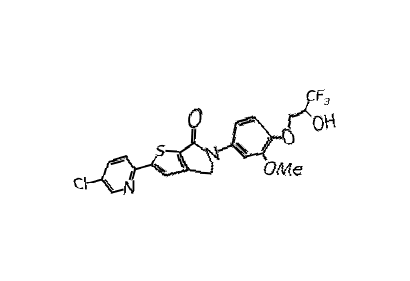 COc1cc(N2Cc3cc(-c4ccc(Cl)cn4)sc3C2=O)ccc1OCC(O)C(F)(F)F